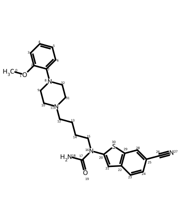 COc1ccccc1N1CCN(CCCCN(C(N)=O)c2cc3ccc(C#N)cc3s2)CC1